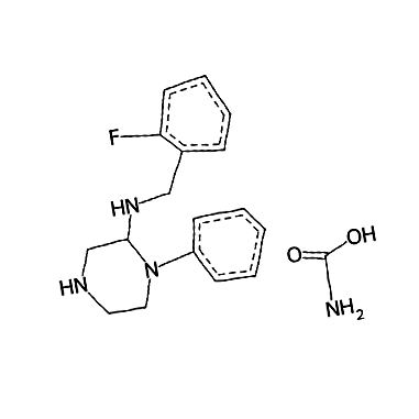 Fc1ccccc1CNC1CNCCN1c1ccccc1.NC(=O)O